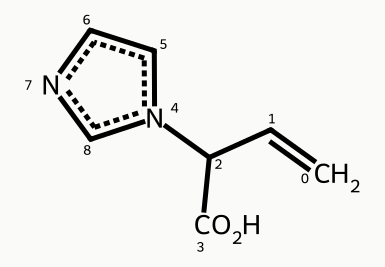 C=CC(C(=O)O)n1ccnc1